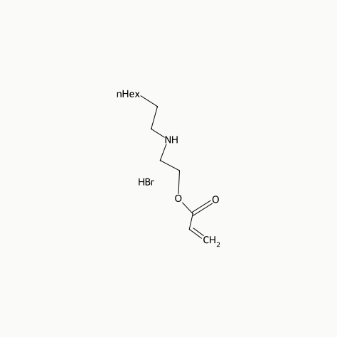 Br.C=CC(=O)OCCNCCCCCCCC